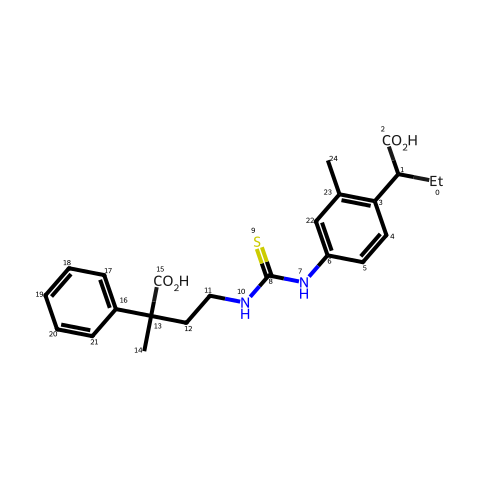 CCC(C(=O)O)c1ccc(NC(=S)NCCC(C)(C(=O)O)c2ccccc2)cc1C